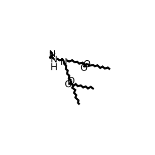 C=C(NCCCN(CCCCCCCOC(=O)C(CCCCCCCC)CCCCCCCC)CCCCCCCC(=O)OCCCCCCCCC)N(C)C